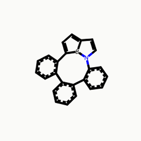 C1=CN2B3C1=CC=C3c1ccccc1-c1ccccc1-c1ccccc12